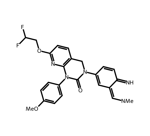 CN/C=C1/C=C(N2Cc3ccc(OCC(F)F)nc3N(c3ccc(OC)cc3)C2=O)C=CC1=N